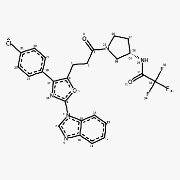 O=C(CCc1oc(-n2cnc3ccccc32)nc1-c1ccc(Cl)cc1)N1CC[C@H](NC(=O)C(F)(F)F)C1